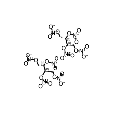 O=[N+]([O-])OC[C@H](O[N+](=O)[O-])[C@@H](CO[N+](=O)[O-])O[N+](=O)[O-].O=[N+]([O-])OC[C@H](O[N+](=O)[O-])[C@@H](CO[N+](=O)[O-])O[N+](=O)[O-]